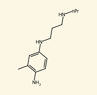 CCCNCCCNc1ccc(N)c(C)c1